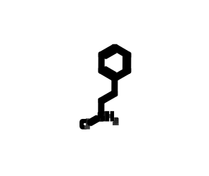 Cl[SiH2]CCc1ccccc1